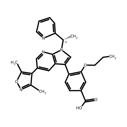 CCCOc1cc(C(=O)O)ccc1-c1cn([C@@H](C)c2ccccn2)c2ncc(-c3c(C)noc3C)cc12